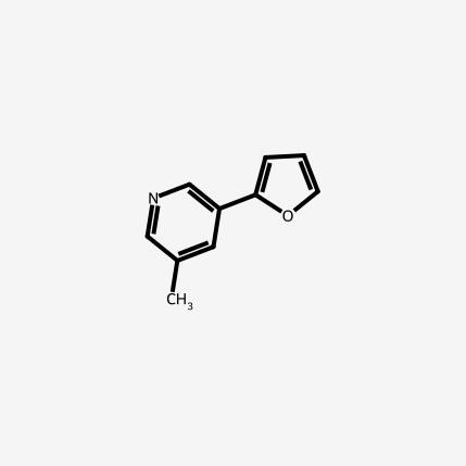 Cc1cncc(-c2ccco2)c1